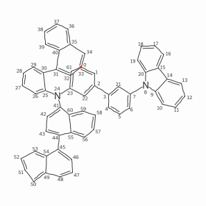 c1cc(-c2cccc(-n3c4ccccc4c4ccccc43)c2)cc(N(c2ccccc2-c2cccc3ccccc23)c2ccc(-c3cccc4ccccc34)c3ccccc23)c1